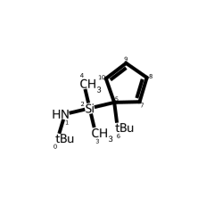 CC(C)(C)N[Si](C)(C)C1(C(C)(C)C)C=CC=C1